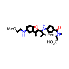 CCCCCC(C)C(Nc1ccc(C(=O)N(C)CCC(=O)O)cc1)c1oc2ccc(NCCOC)cc2c1C